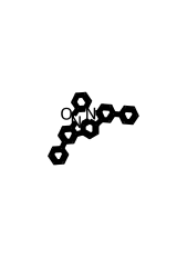 O=c1c2c(n3c4ccc(-c5ccccc5)cc4c4ccc5c6cc(-c7ccccc7)ccc6n1c5c43)C=CCC2